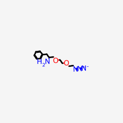 [N-]=[N+]=NCCOCCOCC(N)Cc1ccccc1